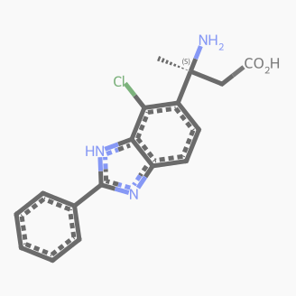 C[C@](N)(CC(=O)O)c1ccc2nc(-c3ccccc3)[nH]c2c1Cl